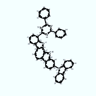 c1ccc(-c2nc(-c3ccccc3)nc(-c3cccc4c3sc3c4ccc4c5ccc(-n6c7ccccc7c7ccccc76)cc5sc43)n2)cc1